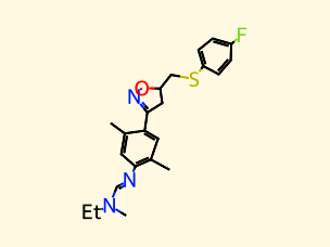 CCN(C)C=Nc1cc(C)c(C2=NOC(CSc3ccc(F)cc3)C2)cc1C